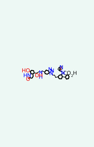 O=C(O)N(c1cc(CCCn2nnc3cc(CNC[C@H](O)c4ccc(O)c5[nH]c(=O)ccc45)ccc32)ccc1-c1ccccc1)C1CN2CCC1CC2